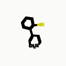 C/C=C(\C=C/CC)c1ccccc1S